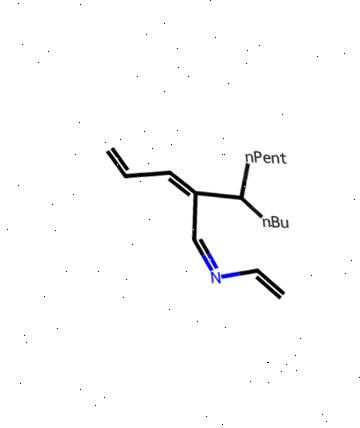 C=C/C=C(\C=N/C=C)C(CCCC)CCCCC